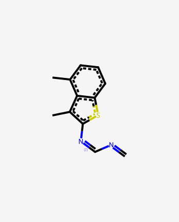 C=N/C=N\c1sc2cccc(C)c2c1C